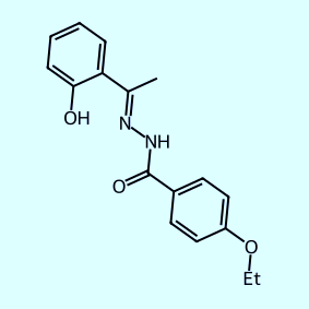 CCOc1ccc(C(=O)N/N=C(\C)c2ccccc2O)cc1